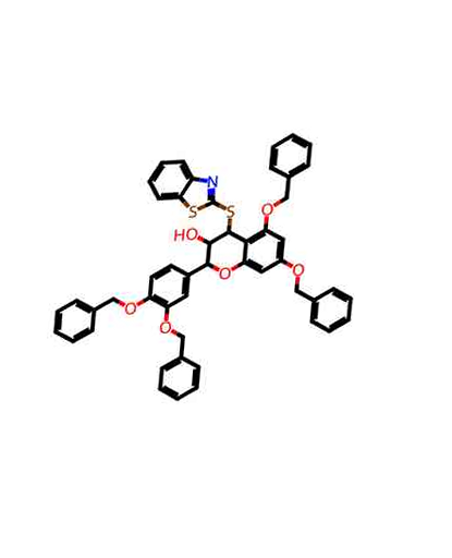 OC1C(c2ccc(OCc3ccccc3)c(OCc3ccccc3)c2)Oc2cc(OCc3ccccc3)cc(OCc3ccccc3)c2C1Sc1nc2ccccc2s1